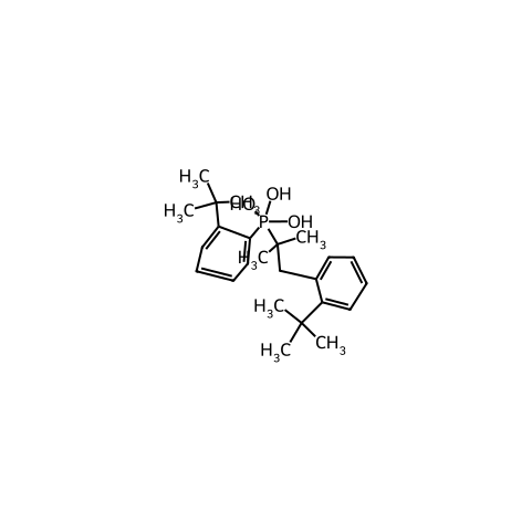 CC(C)(C)c1ccccc1CC(C)(C)P(O)(O)(O)c1ccccc1C(C)(C)C